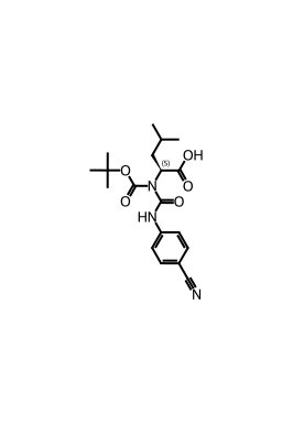 CC(C)C[C@@H](C(=O)O)N(C(=O)Nc1ccc(C#N)cc1)C(=O)OC(C)(C)C